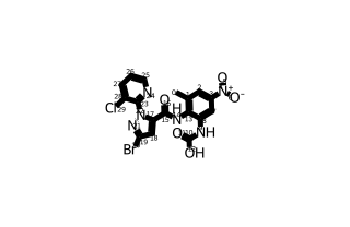 Cc1cc([N+](=O)[O-])cc(NC(=O)O)c1NC(=O)c1cc(Br)nn1-c1ncccc1Cl